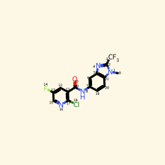 Cn1c(C(F)(F)F)nc2cc(NC(=O)c3cc(F)cnc3Cl)ccc21